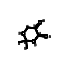 CC1(C)OCC(=O)C(=O)O1